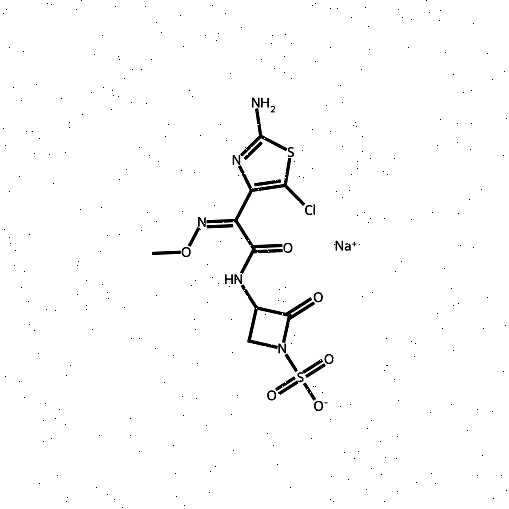 CO/N=C(\C(=O)NC1CN(S(=O)(=O)[O-])C1=O)c1nc(N)sc1Cl.[Na+]